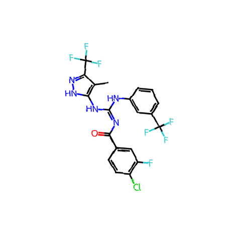 Cc1c(C(F)(F)F)n[nH]c1N/C(=N\C(=O)c1ccc(Cl)c(F)c1)Nc1cccc(C(F)(F)F)c1